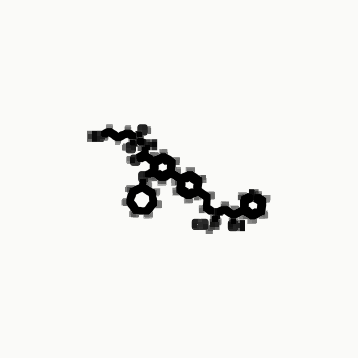 O=C(NS(=O)(=O)CCCO)c1ccc(-c2ccc(CCN(C[C@@H](O)c3cccnc3)C(=O)O)cc2)cc1OC1CCCCCC1